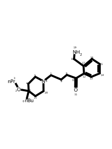 CCCCC1(OCCC)CCN(CCCC(=O)c2ccccc2CN)CC1